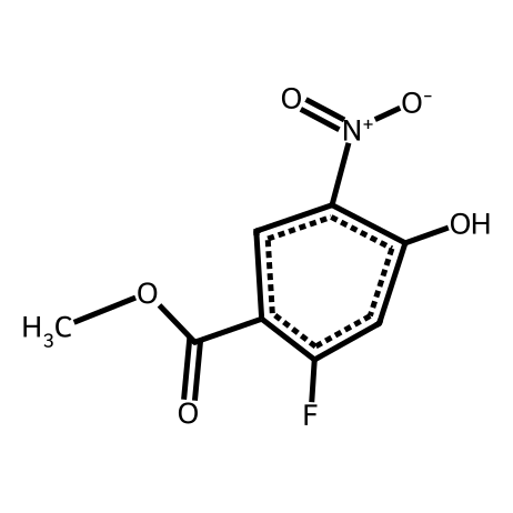 COC(=O)c1cc([N+](=O)[O-])c(O)cc1F